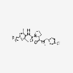 Cc1cc(C(F)(F)F)cc(C)c1NC(=O)N1CCCC1C(=O)N(C)Cc1ccc(Cl)cc1